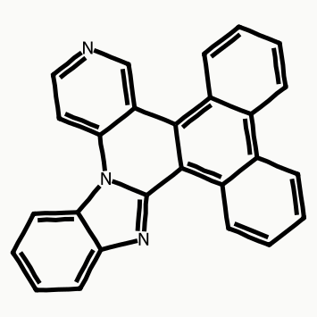 c1ccc2c(c1)nc1c3c4ccccc4c4ccccc4c3c3cnccc3n21